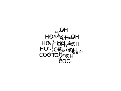 O=C([O-])[C@H](O)[C@H](O)[C@H](O)[C@@H](O)[C@H](O)[C@@H](O)CO.O=C([O-])[C@H](O)[C@H](O)[C@H](O)[C@@H](O)[C@H](O)[C@@H](O)CO.[Ca+2]